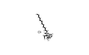 CCCCCCCCCCCC[N+](C)(C)C(CC)[Si](OC)(OC)OC.[Cl-]